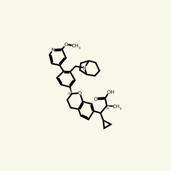 COc1cc(-c2ccc([C@@H]3CCc4ccc(C(C5CC5)[C@H](C)C(=O)O)cc4O3)cc2CN2C3CCCC2CC3)ccn1